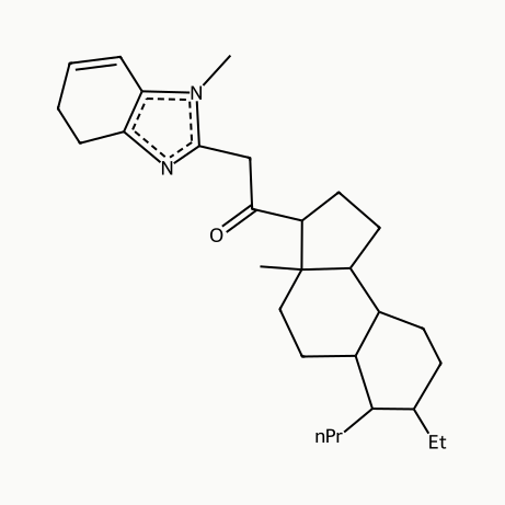 CCCC1C(CC)CCC2C1CCC1(C)C(C(=O)Cc3nc4c(n3C)C=CCC4)CCC21